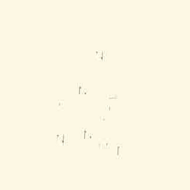 Cc1cccc(Cl)c1S(=O)(=O)N1CCn2cccc2C1CC(=O)N1CCC(N2CCCCC2)CC1